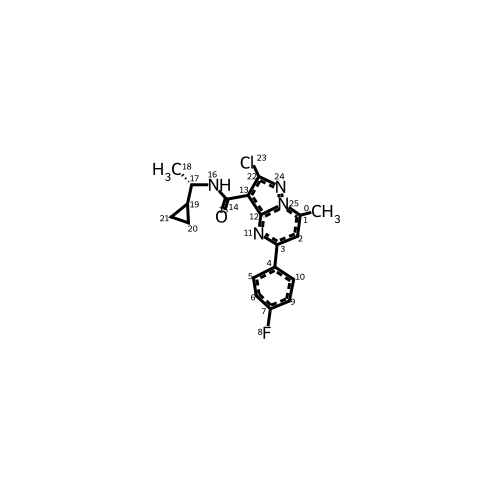 Cc1cc(-c2ccc(F)cc2)nc2c(C(=O)N[C@@H](C)C3CC3)c(Cl)nn12